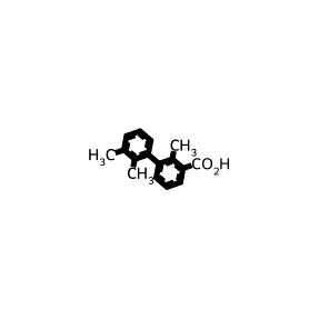 Cc1cccc(-c2cccc(C(=O)O)c2C)c1C